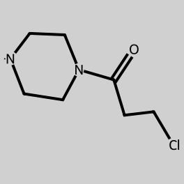 O=C(CCCl)N1CC[N]CC1